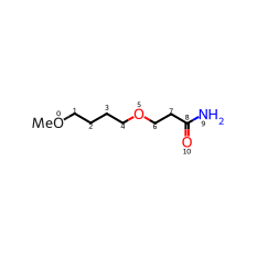 COCCCCOCCC(N)=O